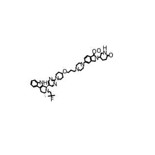 C[C@@H]1Cc2c([nH]c3ccccc23)[C@@H](c2cnc(N3CCC(OCCCN4CCN(c5ccc6c(c5)CN(C5CCC(=O)NC5=O)C6=O)CC4)CC3)nc2)N1CC(C)(C)F